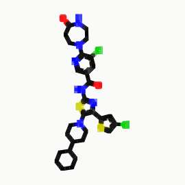 O=C1CCN(c2ncc(C(=O)Nc3nc(-c4cc(Cl)cs4)c(N4CCC(C5CCCCC5)CC4)s3)cc2Cl)CCN1